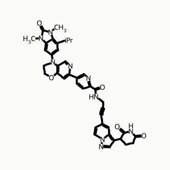 CC(C)c1cc(N2CCOc3cc(-c4ccc(C(=O)NCC#Cc5ccn6ncc(C7CCC(=O)NC7=O)c6c5)nc4)ncc32)cc2c1n(C)c(=O)n2C